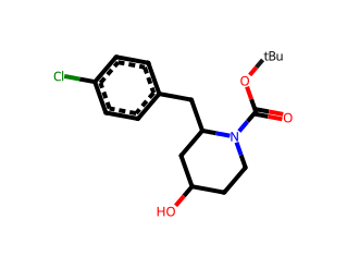 CC(C)(C)OC(=O)N1CCC(O)CC1Cc1ccc(Cl)cc1